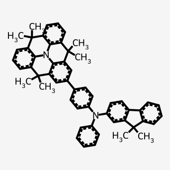 CC1(C)c2ccccc2-c2ccc(N(c3ccccc3)c3ccc(-c4cc5c6c(c4)C(C)(C)c4cccc7c4N6c4c(cccc4C5(C)C)C7(C)C)cc3)cc21